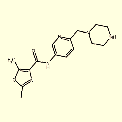 Cc1nc(C(=O)Nc2ccc(CN3CCNCC3)nc2)c(C(F)(F)F)o1